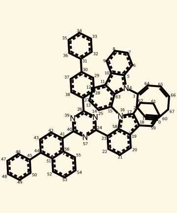 C1#CC/C(n2c3ccccc3c3cccc(-n4c5c(c6cccc(-c7nc(-c8ccc(-c9ccccc9)cc8)nc(-c8ccc(-c9ccccc9)c9ccccc89)n7)c64)C=CCC5)c32)=C\C=C/C1